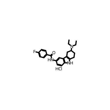 CCN(CC)C1CCc2[nH]c3ccc(NC(=O)c4ccc(F)cc4)cc3c2C1.Cl